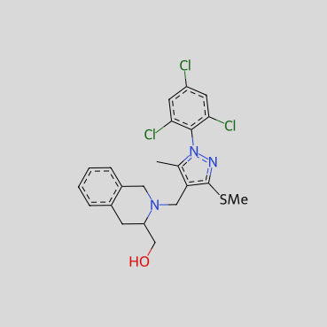 CSc1nn(-c2c(Cl)cc(Cl)cc2Cl)c(C)c1CN1Cc2ccccc2CC1CO